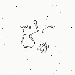 CCCC[B]C(=O)c1ccccc1OC.O.O